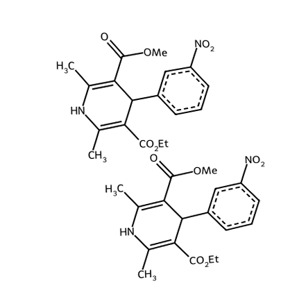 CCOC(=O)C1=C(C)NC(C)=C(C(=O)OC)C1c1cccc([N+](=O)[O-])c1.CCOC(=O)C1=C(C)NC(C)=C(C(=O)OC)C1c1cccc([N+](=O)[O-])c1